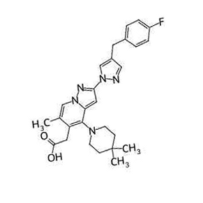 Cc1cn2nc(-n3cc(Cc4ccc(F)cc4)cn3)cc2c(N2CCC(C)(C)CC2)c1CC(=O)O